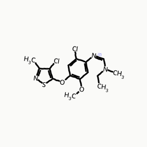 CCN(C)/C=N\c1cc(OC)c(Oc2snc(C)c2Cl)cc1Cl